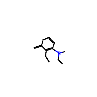 C=C1CC=CC(N(C)CC)=C1CC